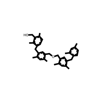 Cc1ccc(Cc2cc(COCc3cc(Cc4ccc(C)c(CO)c4C)c(C)cc3C)c(C)cc2C)c(C)c1